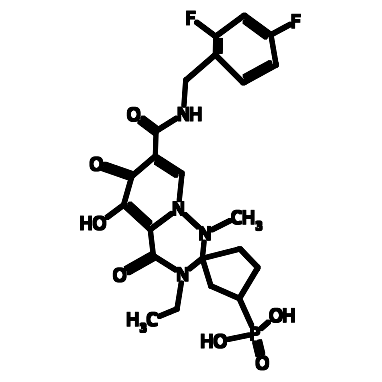 CCN1C(=O)c2c(O)c(=O)c(C(=O)NCc3ccc(F)cc3F)cn2N(C)C12CCC(P(=O)(O)O)C2